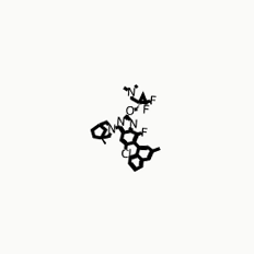 Cc1cc(-c2c(Cl)cc3c(N4CC5CC[C@](C)(C5)C4)nc(OC[C@]4(CN(C)C)CC4(F)F)nc3c2F)c2ccccc2c1